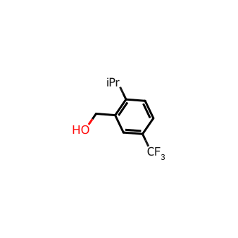 CC(C)c1ccc(C(F)(F)F)cc1CO